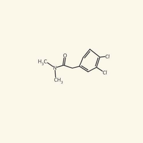 CN(C)C(=O)Cc1ccc(Cl)c(Cl)c1